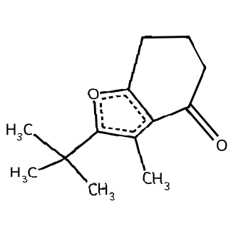 Cc1c(C(C)(C)C)oc2c1C(=O)CCC2